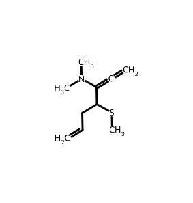 C=C=C(C(CC=C)SC)N(C)C